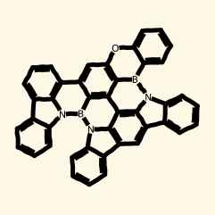 c1ccc2c(c1)Oc1cc3c4c5c1B2n1c2ccccc2c2cc6c7ccccc7n(c6c-5c21)B4n1c2ccccc2c2cccc-3c21